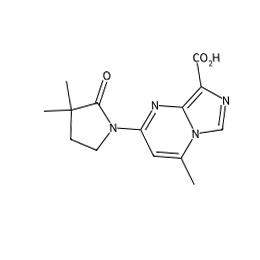 Cc1cc(N2CCC(C)(C)C2=O)nc2c(C(=O)O)ncn12